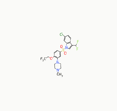 CN1CCN(c2cc(S(=O)(=O)n3cc(C(F)F)c4ccc(Cl)cc43)ccc2OCC(F)(F)F)CC1